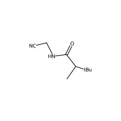 CC(C(=O)NCC#N)C(C)(C)C